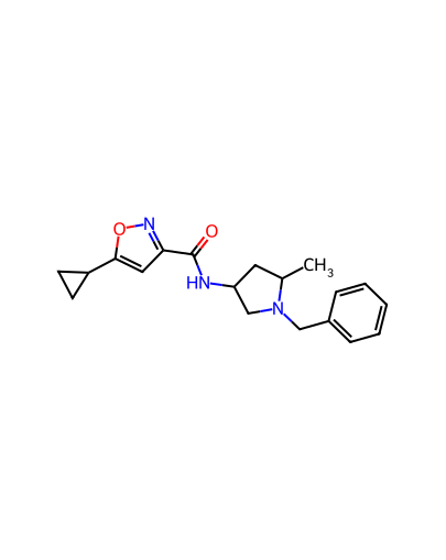 CC1CC(NC(=O)c2cc(C3CC3)on2)CN1Cc1ccccc1